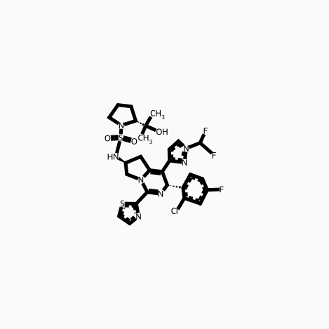 CC(C)(O)[C@H]1CCCN1S(=O)(=O)N[C@H]1CC2=C(c3ccn(C(F)F)n3)[C@H](c3ccc(F)cc3Cl)N=C(c3nccs3)N2C1